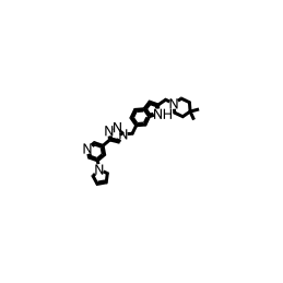 CC1(C)CCN(Cc2cc3ccc(Cn4cc(-c5cncc(N6CC=CC6)c5)nn4)cc3[nH]2)CC1